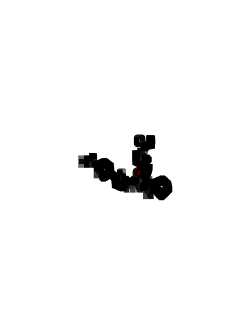 C=CC(=O)N1CC[C@]2(C1)C[C@H](n1c(NC(=O)c3ccc(-c4ccc(NC)nc4)s3)nc3ccccc31)C2